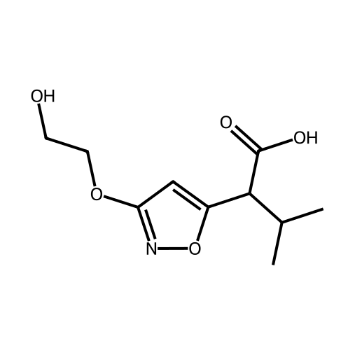 CC(C)C(C(=O)O)c1cc(OCCO)no1